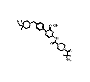 CC1(CN)CCN(Cc2ccc(-n3ccc(NC(=O)N4CCN(C(=O)C(C)(C)N)CC4)nc3=O)cc2)CC1.Cl